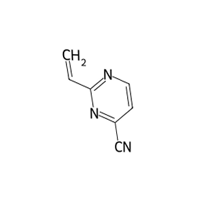 C=Cc1nccc(C#N)n1